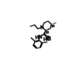 CCCN1CC[C@H](C)C[C@H]1C(=O)Nc1c(C)cccc1C.Cl